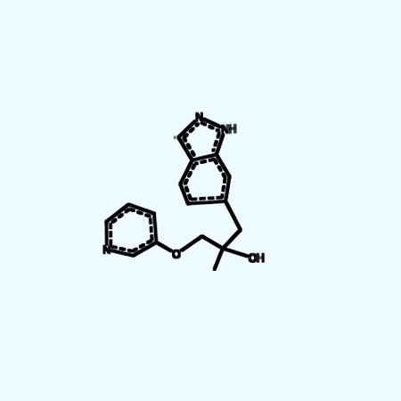 CC(O)(COc1cccnc1)Cc1ccc2[c]n[nH]c2c1